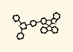 c1ccc(-c2cc(-c3ccc(-c4ccc5c(c4)C4(c6ccccc6-c6ccccc64)c4oc6ccccc6c4-5)cc3)cc(-c3ccccc3)n2)cc1